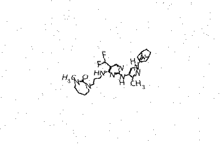 Cc1nn(C2CC3CCC(C2)N3C)cc1Nc1ncc(C(F)F)c(NCCCN2CCCCN(C)C2=O)n1